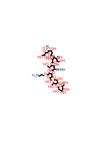 CC(=O)NC1[C@H](O[C@@H]2C(O)[C@H](OCCCN)OC(CO)[C@@H]2O[C@@H]2OC(CO)[C@@H](O[C@@H]3OC(CO)[C@H](O)[C@H](O)C3O)[C@H](O)C2O)OC(CO)[C@@H](O[C@@H]2OC(CO)[C@H](O)[C@H](O[C@]3(C(=O)O)C[C@@H](O)[C@@H](C)C([C@H](O)[C@H](O)CO)O3)C2O)[C@@H]1O